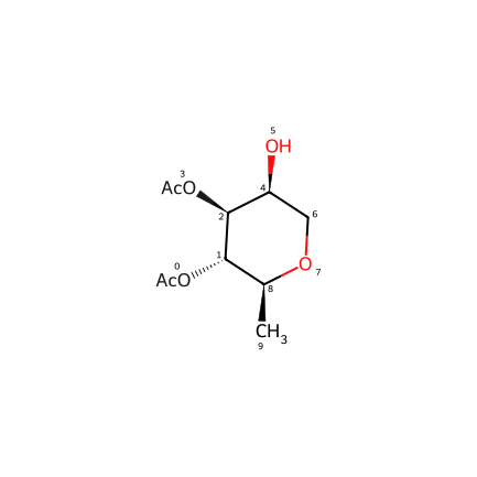 CC(=O)O[C@@H]1[C@@H](OC(C)=O)[C@@H](O)CO[C@H]1C